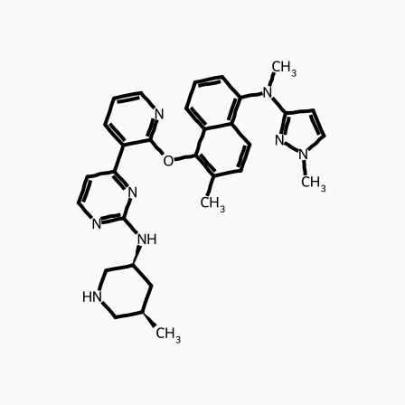 Cc1ccc2c(N(C)c3ccn(C)n3)cccc2c1Oc1ncccc1-c1ccnc(N[C@@H]2CNC[C@H](C)C2)n1